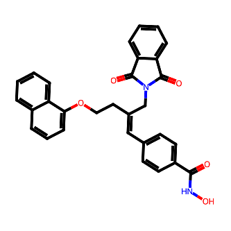 O=C(NO)c1ccc(C=C(CCOc2cccc3ccccc23)CN2C(=O)c3ccccc3C2=O)cc1